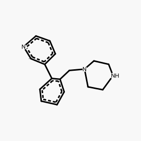 [c]1ncccc1-c1ccccc1CN1CCNCC1